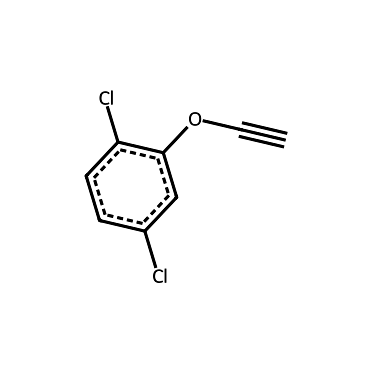 C#COc1cc(Cl)ccc1Cl